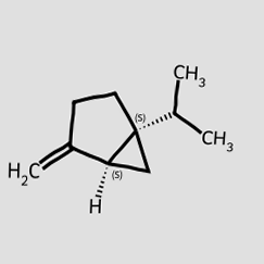 C=C1CC[C@@]2(C(C)C)C[C@@H]12